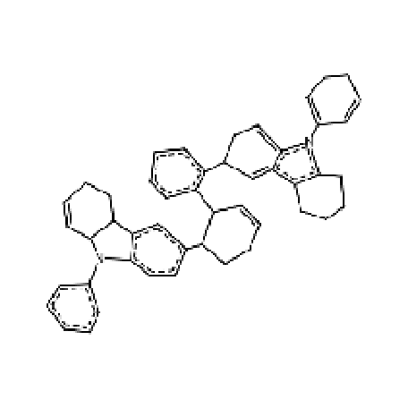 C1=CC(n2c3c(c4c2=CCC(c2ccccc2C2C=CCCC2c2ccc5c(c2)C2CCC=CC2N5c2ccccc2)C=4)CCCC3)=CCC1